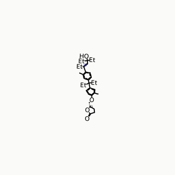 CC/C(=C\C(O)(CC)CC)c1ccc(C(CC)(CC)c2ccc(OC[C@@H]3CCC(=O)O3)c(C)c2)cc1C